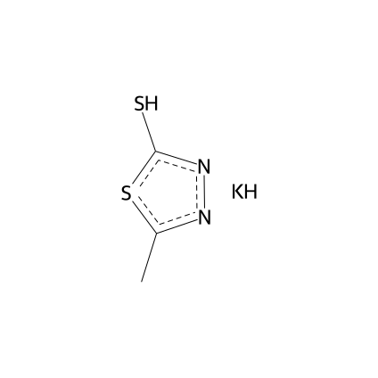 Cc1nnc(S)s1.[KH]